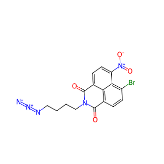 [N-]=[N+]=NCCCCN1C(=O)c2ccc(Br)c3c([N+](=O)[O-])ccc(c23)C1=O